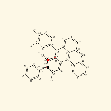 Cc1ccc(-c2c3ccccc3nc3cccc(C(OC(=O)Nc4ccccc4)c4ccc(C)c(C)c4)c23)cc1C